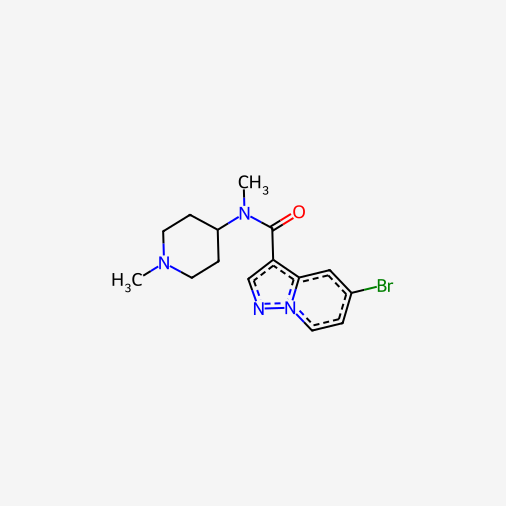 CN1CCC(N(C)C(=O)c2cnn3ccc(Br)cc23)CC1